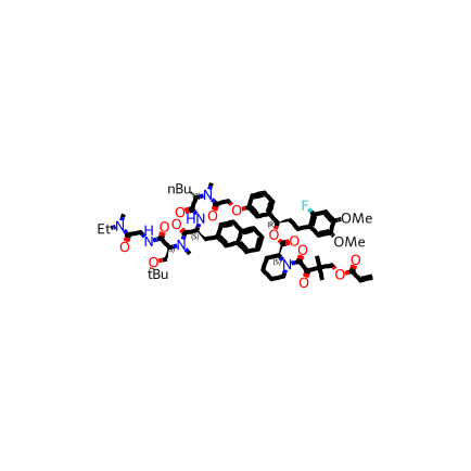 C=CC(=O)OCC(C)(C)C(=O)C(=O)N1CCCC[C@H]1C(=O)O[C@H](CCc1cc(OC)c(OC)cc1F)c1cccc(OCC(=O)N(C)[C@@H](CCCC)C(=O)N[C@@H](Cc2ccc3ccccc3c2)C(=O)N(C)[C@@H](COC(C)(C)C)C(=O)NCC(=O)N(C)CC)c1